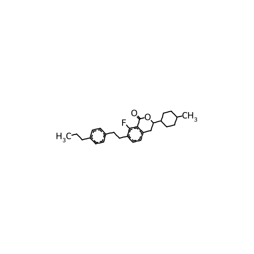 CCCc1ccc(CCc2ccc3c(c2F)C(=O)OC(C2CCC(C)CC2)C3)cc1